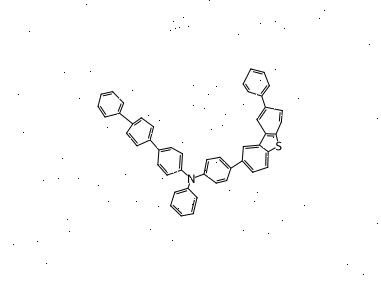 c1ccc(-c2ccc(-c3ccc(N(c4ccccc4)c4ccc(-c5ccc6sc7ccc(-c8ccccc8)cc7c6c5)cc4)cc3)cc2)cc1